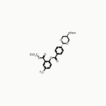 CCCCC[C@H]1CO[C@H](c2ccc(C(=O)Oc3ccc(C(F)(F)F)cc3C(=O)OC(=O)OCC)cc2)OC1